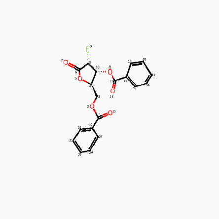 O=C(OC[C@H]1OC(=O)[C@H](F)[C@@H]1OC(=O)c1ccccc1)c1ccccc1